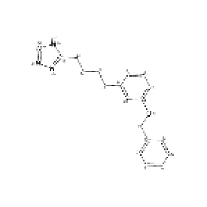 c1ccc(COc2cccc(CCCCc3nnn[nH]3)c2)cc1